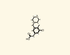 Cc1c(Cl)cc(CC(=O)O)cc1CN1CCOCC1